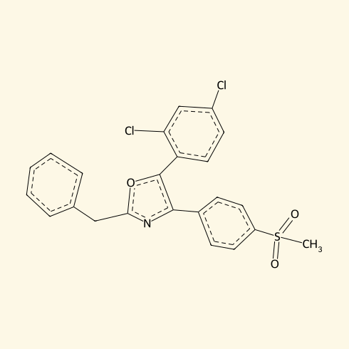 CS(=O)(=O)c1ccc(-c2nc(Cc3ccccc3)oc2-c2ccc(Cl)cc2Cl)cc1